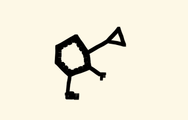 CC(C)(C)c1cccc(C2CC2)c1F